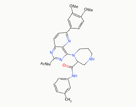 COc1ccc(-c2ccc3nc(NC(C)=O)nc(N4CCCNCC4C(=O)Nc4cccc(C)c4)c3n2)cc1OC